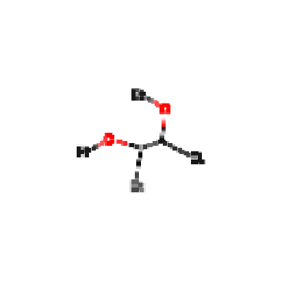 CCOC(CC)C(CC)OCC